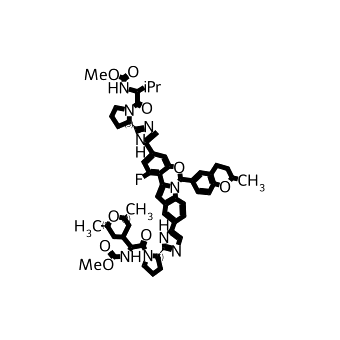 COC(=O)NC(C(=O)N1CCC[C@H]1c1ncc(-c2cc(F)c3c(c2)OC(c2ccc4c(c2)CCC(C)O4)n2c-3cc3cc(-c4cnc([C@@H]5CCCN5C(=O)C(NC(=O)OC)C5C[C@@H](C)O[C@@H](C)C5)[nH]4)ccc32)[nH]1)C(C)C